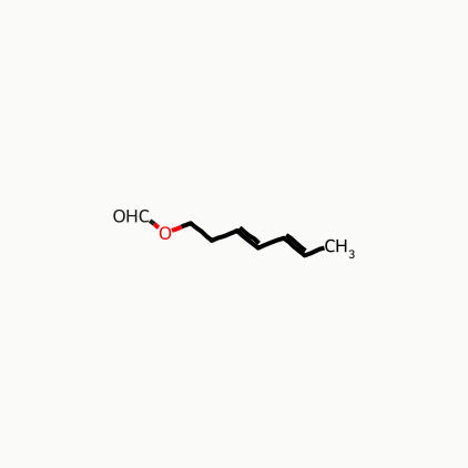 C/C=C/C=C/CCOC=O